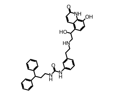 O=C(NCCC(c1ccccc1)c1ccccc1)Nc1cccc(CCNCC(O)c2ccc(O)c3[nH]c(=O)ccc23)c1